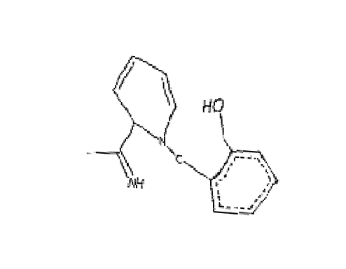 CC(=N)C1C=CC=CN1Cc1ccccc1O